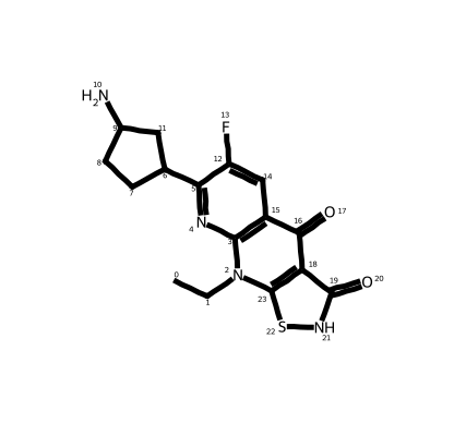 CCn1c2nc(C3CCC(N)C3)c(F)cc2c(=O)c2c(=O)[nH]sc21